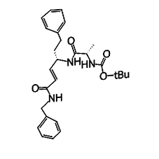 C[C@H](NC(=O)OC(C)(C)C)C(=O)N[C@H](/C=C/C(=O)NCc1ccccc1)CCc1ccccc1